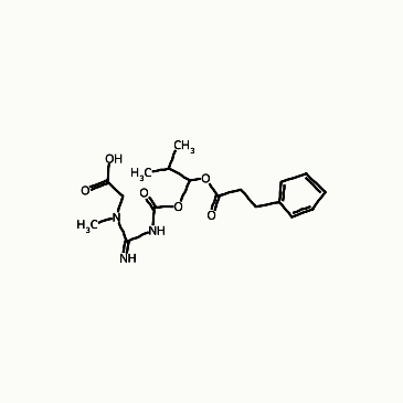 CC(C)C(OC(=O)CCc1ccccc1)OC(=O)NC(=N)N(C)CC(=O)O